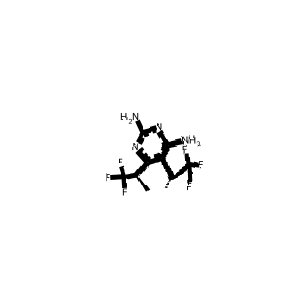 C[C@H](c1nc(N)nc(N)c1[C@@H](C)C(F)(F)F)C(F)(F)F